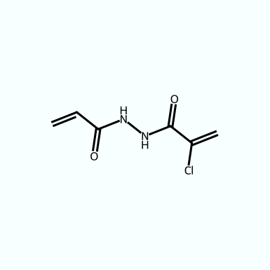 C=CC(=O)NNC(=O)C(=C)Cl